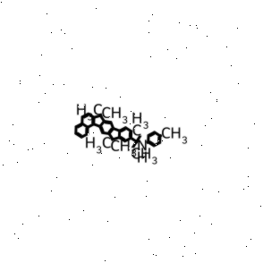 CCC(CC)(Nc1ccc(C)cc1)c1ccc2c(c1)C(C)(C)c1cc3c(cc1-2)C(C)(C)c1ccc2ccccc2c1-3